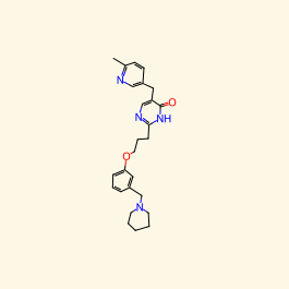 Cc1ccc(Cc2cnc(CCCOc3cccc(CN4CCCCC4)c3)[nH]c2=O)cn1